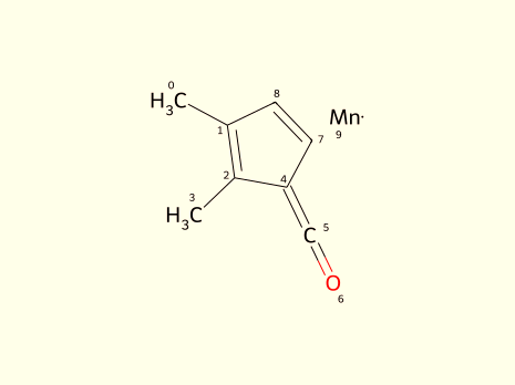 CC1=C(C)C(=C=O)C=C1.[Mn]